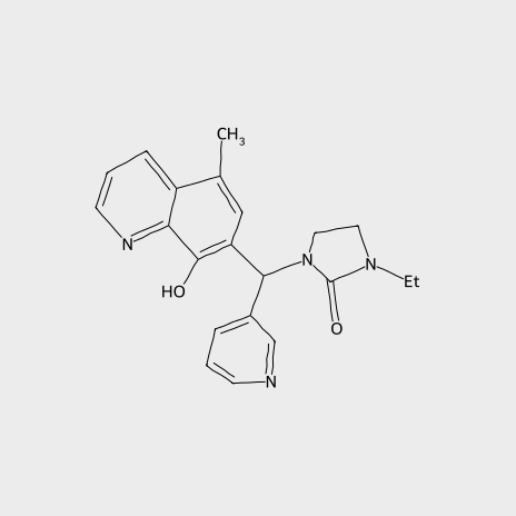 CCN1CCN(C(c2cccnc2)c2cc(C)c3cccnc3c2O)C1=O